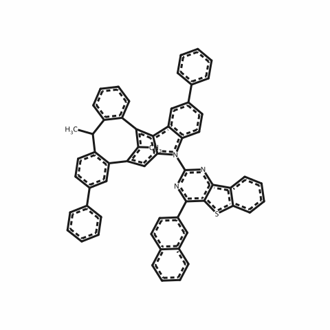 Cc1c2cc3c(c1-c1ccccc1C(C)c1ccc(-c4ccccc4)cc1-2)c1cc(-c2ccccc2)ccc1n3-c1nc(-c2ccc3ccccc3c2)c2sc3ccccc3c2n1